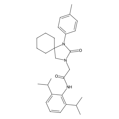 Cc1ccc(N2C(=O)N(CC(=O)Nc3c(C(C)C)cccc3C(C)C)CC23CCCCC3)cc1